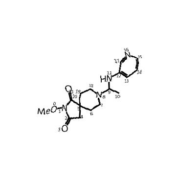 CON1C(=O)CC2(CCN(C(C)Nc3cccnc3)CC2)C1=O